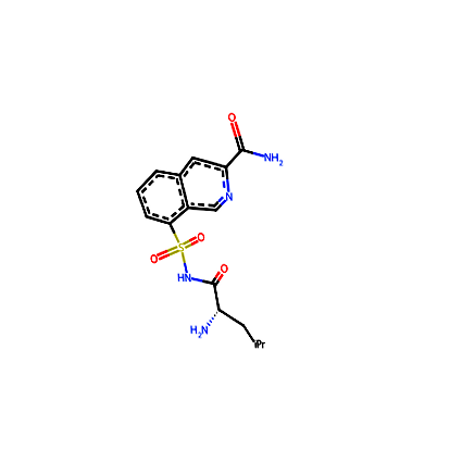 CC(C)C[C@H](N)C(=O)NS(=O)(=O)c1cccc2cc(C(N)=O)ncc12